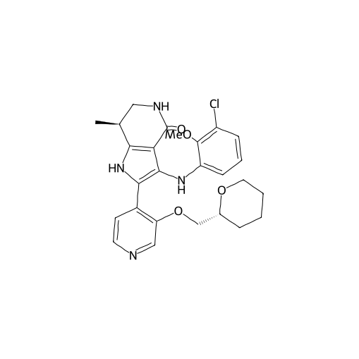 COc1c(Cl)cccc1Nc1c(-c2ccncc2OC[C@H]2CCCCO2)[nH]c2c1C(=O)NC[C@@H]2C